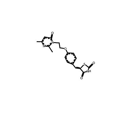 Cc1cc(=O)n(CCOc2ccc(/C=C3\SC(=O)NC3=O)cc2)c(C)n1